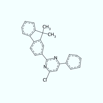 CC1(C)c2ccccc2-c2ccc(-c3nc(Cl)cc(-c4ccccc4)n3)cc21